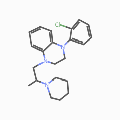 CC(CN1CCN(c2ccccc2Cl)c2ccccc21)N1CCCCC1